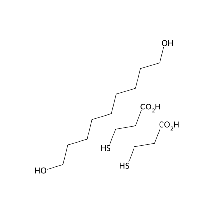 O=C(O)CCS.O=C(O)CCS.OCCCCCCCCCO